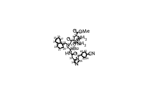 CCC(C)C(CN(CC(=O)C(CC(N)C(=O)OC)S(N)(=O)=O)Cc1cccc2ccccc12)NC(=O)Cc1cncn1Cc1ccc(C#N)cc1